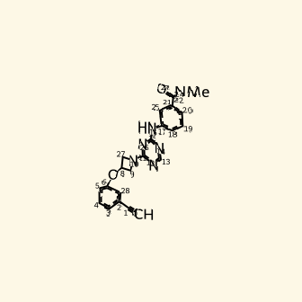 C#Cc1cccc(OC2CN(c3ncnc(Nc4cccc(C(=O)NC)c4)n3)C2)c1